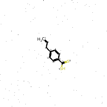 C=CCc1ccc(C(=S)S)cc1